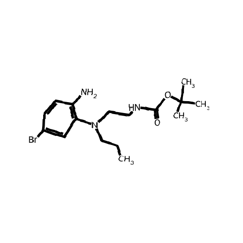 CCCN(CCNC(=O)OC(C)(C)C)c1cc(Br)ccc1N